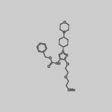 COCCOCCOc1nn(C2CCC(N3CCOCC3)CC2)cc1NC(=O)OCc1ccccc1